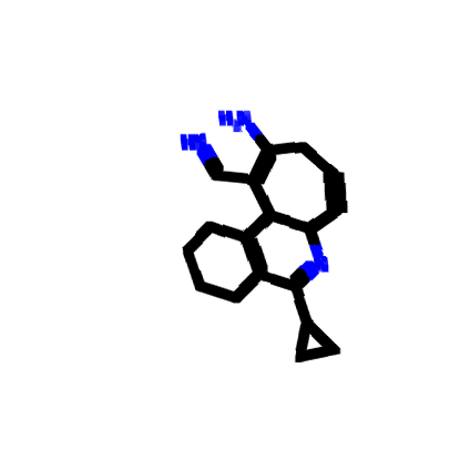 N=CC1=C(N)CC#CC2N=C(C3CC3)C3=C(CCCC3)C12